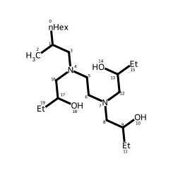 CCCCCCC(C)CN(CCN(CC(O)CC)CC(O)CC)CC(O)CC